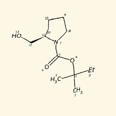 CCC(C)(C)OC(=O)N1CCC[C@@H]1CO